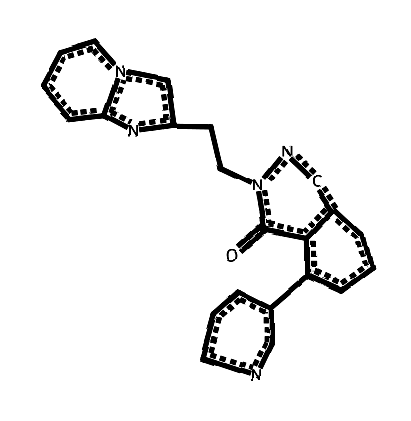 O=c1c2c(-c3cccnc3)cccc2cnn1CCc1cn2ccccc2n1